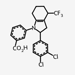 O=C(O)c1cccc(N2C3=C(CC2c2ccc(Cl)c(Cl)c2)C(C(F)(F)F)CCC3)c1